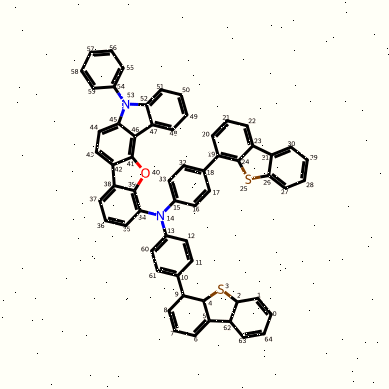 C1=CC2SC3C(=CC=CC3c3ccc(N(c4ccc(-c5cccc6c5sc5ccccc56)cc4)c4cccc5c4oc4c5ccc5c4c4ccccc4n5-c4ccccc4)cc3)C2C=C1